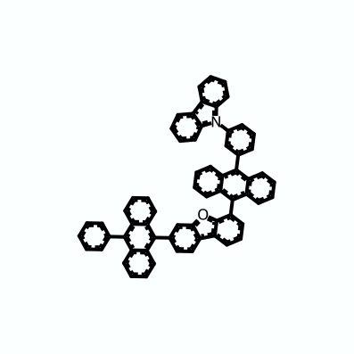 c1ccc(-c2c3ccccc3c(-c3ccc4c(c3)oc3c(-c5c6ccccc6c(-c6cccc(-n7c8ccccc8c8ccccc87)c6)c6ccccc56)cccc34)c3ccccc23)cc1